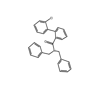 O=C(c1ccccc1-c1ccccc1Cl)N(Cc1ccccc1)Cc1ccccc1